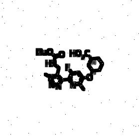 Cc1nc(-c2nnn(C)c2CNC(=O)OCC(C)C)c(F)cc1O[C@H]1CCC[C@H](C(=O)O)C1